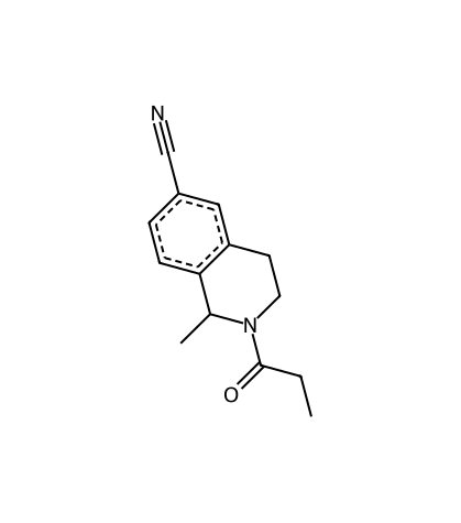 CCC(=O)N1CCc2cc(C#N)ccc2C1C